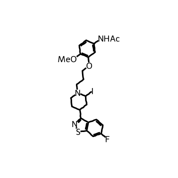 COc1ccc(NC(C)=O)cc1OCCCN1CCC(c2nsc3cc(F)ccc23)CC1I